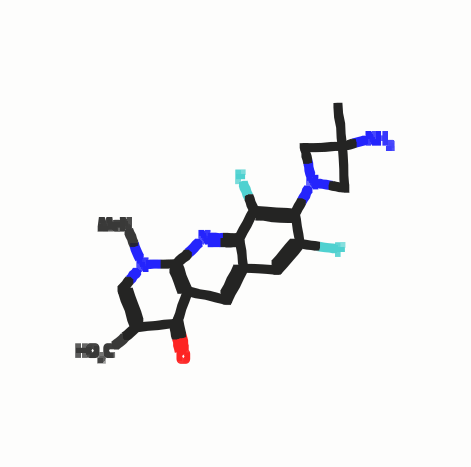 CNn1cc(C(=O)O)c(=O)c2cc3cc(F)c(N4CC(C)(N)C4)c(F)c3nc21